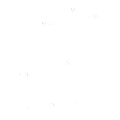 COc1cc(CN(Cc2ccc(C)nc2Cl)C(=O)CCN)cc(OC)c1OC